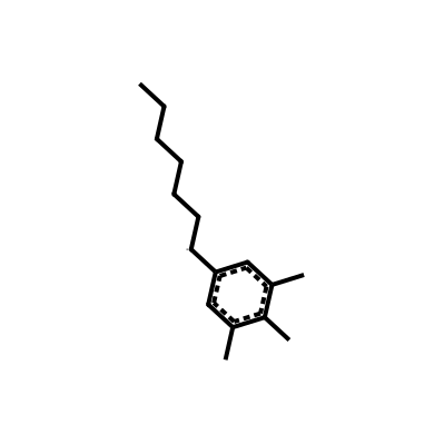 CCCCCC[CH]c1cc(C)c(C)c(C)c1